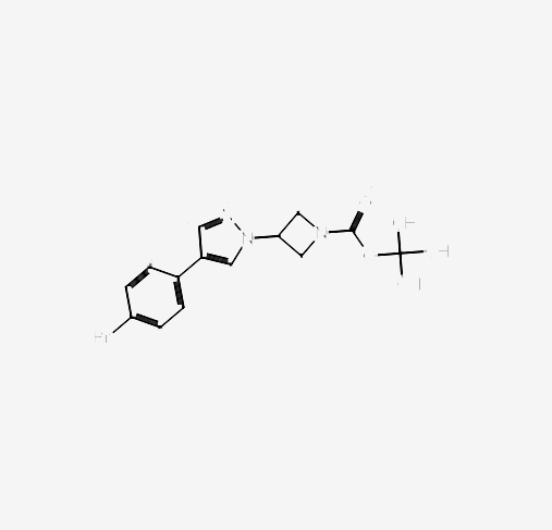 CC(C)(C)OC(=O)N1CC(n2cc(-c3ccc(Br)cc3)cn2)C1